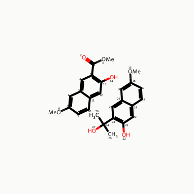 COC(=O)c1cc2cc(OC)ccc2cc1O.COc1ccc2cc(O)c(C(C)(C)O)cc2c1